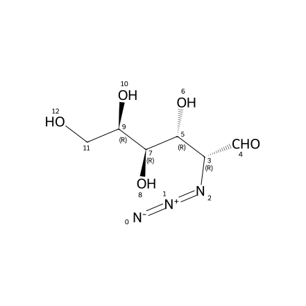 [N-]=[N+]=N[C@@H](C=O)[C@@H](O)[C@@H](O)[C@H](O)CO